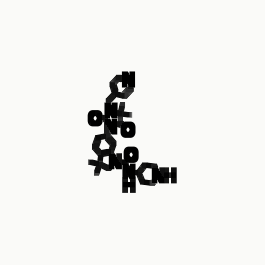 CC1(C)CN(C(=O)NC2CCNCC2)c2cc(N3C(=O)N(Cc4ccncc4)C(C)(C)C3=O)ccc21